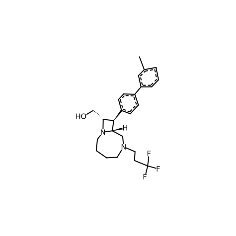 Cc1cccc(-c2ccc([C@@H]3[C@@H](CO)N4CCCCN(CCC(F)(F)F)C[C@@H]34)cc2)c1